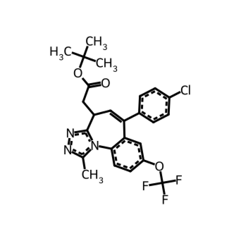 Cc1nnc2n1-c1ccc(OC(F)(F)F)cc1C(c1ccc(Cl)cc1)=CC2CC(=O)OC(C)(C)C